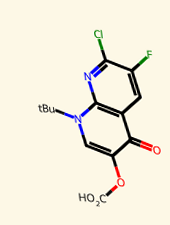 CC(C)(C)n1cc(OC(=O)O)c(=O)c2cc(F)c(Cl)nc21